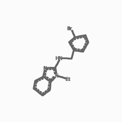 CCn1c(NCc2cccc(Br)c2)nc2ccccc21